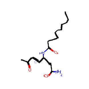 CCCCCCCC(=O)NC(/C=C/C(C)=O)CC(N)=O